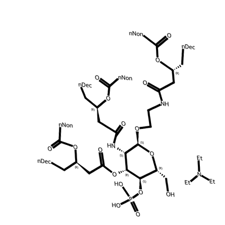 CCCCCCCCCCC[C@H](CC(=O)NCCO[C@H]1O[C@H](CO)[C@@H](OP(=O)(O)O)[C@H](OC(=O)C[C@@H](CCCCCCCCCCC)OC(=O)CCCCCCCCC)[C@@H]1NC(=O)C[C@@H](CCCCCCCCCCC)OC(=O)CCCCCCCCC)OC(=O)CCCCCCCCC.CCN(CC)CC